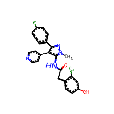 Cn1nc(-c2ccc(F)cc2)c(-c2ccncc2)c1NC(=O)Cc1ccc(O)cc1Cl